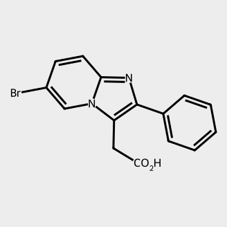 O=C(O)Cc1c(-c2ccccc2)nc2ccc(Br)cn12